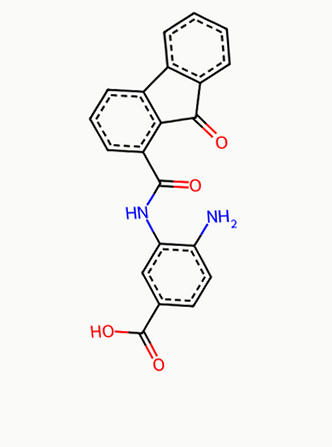 Nc1ccc(C(=O)O)cc1NC(=O)c1cccc2c1C(=O)c1ccccc1-2